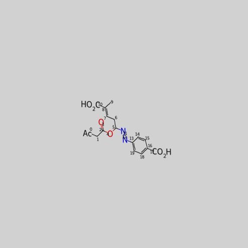 CC(=O)CC(=O)OC(CC=C(C)C(=O)O)N=Nc1ccc(C(=O)O)cc1